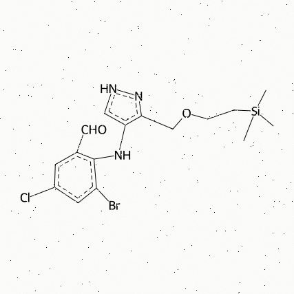 C[Si](C)(C)CCOCc1n[nH]cc1Nc1c(Br)cc(Cl)cc1C=O